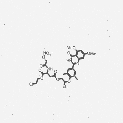 CCC(COC(=O)CC(NC(=O)CO[N+](=O)[O-])C(=O)OCCCl)Oc1c(C)cc(-c2nc3cc(OC)cc(OC)c3c(=O)[nH]2)cc1C